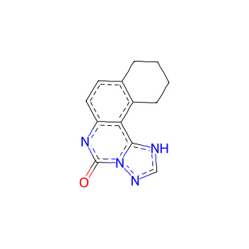 O=c1nc2ccc3c(c2c2[nH]cnn12)CCCC3